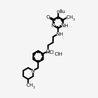 CCCCc1c(C)[nH]c(NCCCOc2cccc(CN3CCCC(C)C3)c2)nc1=O.Cl.Cl